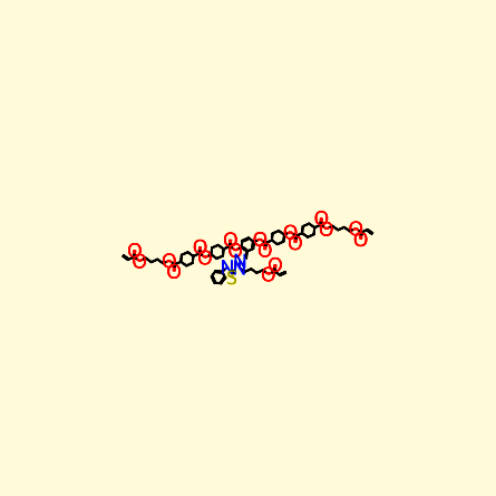 C=CC(=O)OCCCCOC(=O)C1CCC(C(=O)OC2CCC(C(=O)Oc3ccc(OC(=O)C4CCC(OC(=O)C5CCC(C(=O)OCCCCOC(=O)C=C)CC5)CC4)c(/C=N/N(CCCCOC(=O)C=C)c4nc5ccccc5s4)c3)CC2)CC1